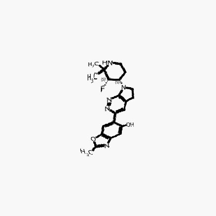 Cc1nc2cc(O)c(-c3cc4c(nn3)N([C@H]3CCNC(C)(C)[C@H]3F)CC4)cc2o1